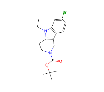 CCn1c2c(c3ccc(Br)cc31)CN(C(=O)OC(C)(C)C)CC2